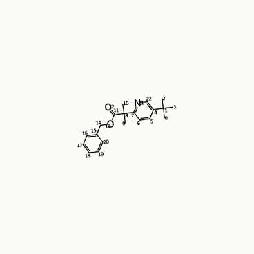 CC(C)(C)c1ccc(C(C)(C)C(=O)OCc2ccccc2)nc1